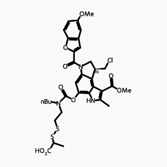 CCCCN(CCSSC(C)C(=O)O)C(=O)Oc1cc2c(c3c(C(=O)OC)c(C)[nH]c13)[C@H](CCl)CN2C(=O)c1cc2cc(OC)ccc2o1